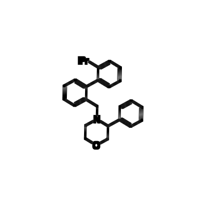 CC(C)c1ccccc1-c1ccccc1CN1CCOCC1c1ccccc1